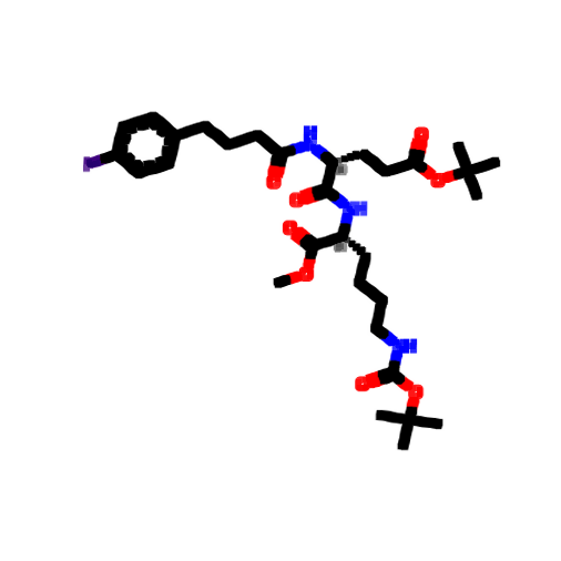 COC(=O)[C@@H](CCCCNC(=O)OC(C)(C)C)NC(=O)[C@@H](CCC(=O)OC(C)(C)C)NC(=O)CCCc1ccc(I)cc1